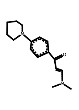 CN(C)/C=C/C(=O)c1ccc(N2CCCCC2)cc1